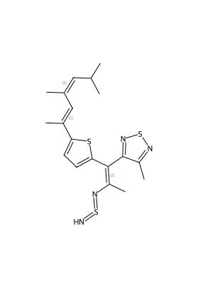 CC(=C/C(C)C)/C=C(\C)c1ccc(/C(=C(/C)N=S=N)c2nsnc2C)s1